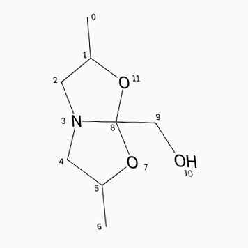 CC1CN2CC(C)OC2(CO)O1